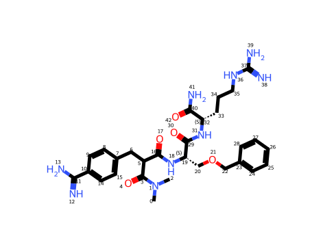 CN(C)C(=O)C(Cc1ccc(C(=N)N)cc1)C(=O)N[C@@H](COCc1ccccc1)C(=O)N[C@@H](CCCNC(=N)N)C(N)=O